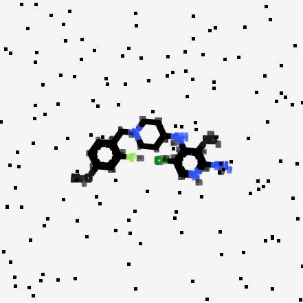 COc1ccc(CN2CCC(Nc3c(Cl)cnc(N)c3[N+](=O)[O-])CC2)c(F)c1